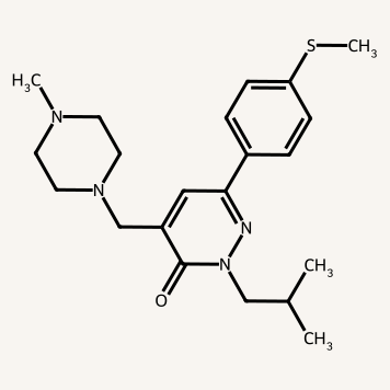 CSc1ccc(-c2cc(CN3CCN(C)CC3)c(=O)n(CC(C)C)n2)cc1